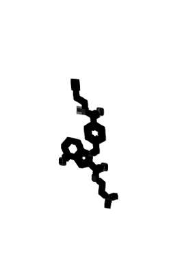 C#CCCNC(=O)c1ccc(Cn2c(C(=O)OCCN(C)C)cc3c2CCCC3=O)cc1